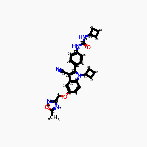 Cc1nc(COc2ccc3c(c2)c(C#N)c(-c2ccc(NC(=O)NC4CCC4)cc2)n3C2CCC2)no1